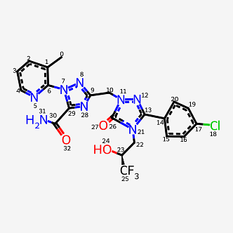 Cc1cccnc1-n1nc(Cn2nc(-c3ccc(Cl)cc3)n(C[C@H](O)C(F)(F)F)c2=O)nc1C(N)=O